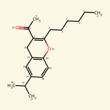 CCCCCCC1=C(C(C)=O)Cc2cc(C(C)C)ccc2O1